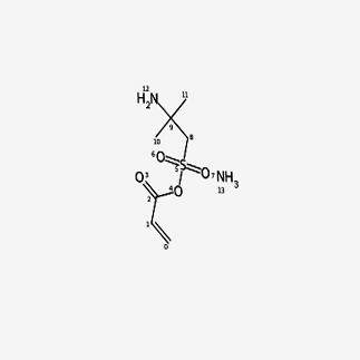 C=CC(=O)OS(=O)(=O)CC(C)(C)N.N